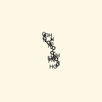 Cc1c(Nc2nc(C(F)F)nc3cc(CN4CC[C@H](O)C4)cnc23)cccc1-c1cccc(-c2nc3cc(CN4CCC(C)(C(=O)O)CC4)cc(C#N)c3o2)c1C